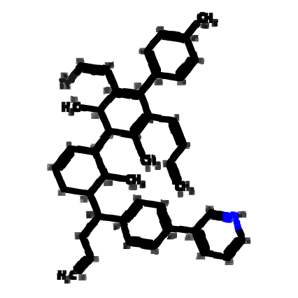 C=C/C=C\C1=C(C)C(C2C=CCC(C(CC=C)c3ccc(-c4cccnc4)cc3)C2C)C(C)C(/C=C\CC)=C1c1ccc(C)cc1